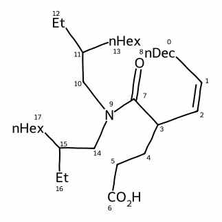 CCCCCCCCCC/C=C\C(CCC(=O)O)C(=O)N(CC(CC)CCCCCC)CC(CC)CCCCCC